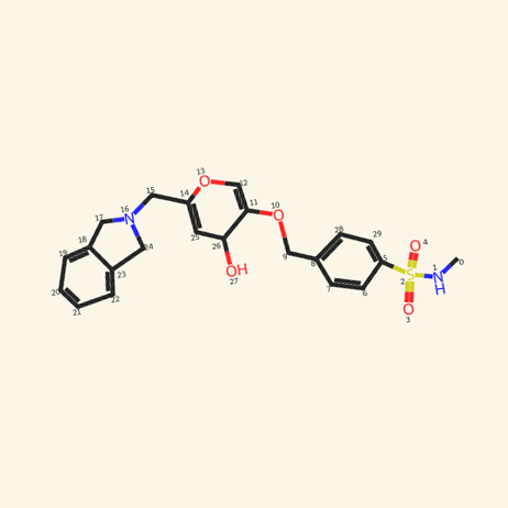 CNS(=O)(=O)c1ccc(COC2=COC(CN3Cc4ccccc4C3)=CC2O)cc1